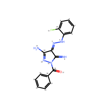 N=C1/C(=N\Nc2ccccc2F)C(N)=NN1C(=O)c1ccccc1